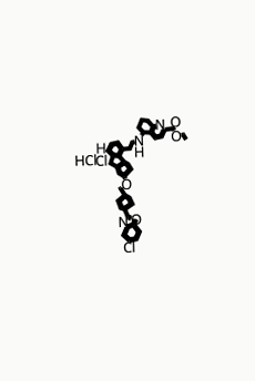 CCOC(=O)c1ccc2c(n1)CCCC2NCCc1cccc2c1-c1ccc(OCc3ccc(-c4nc5cc(Cl)ccc5o4)cc3)cc1C2.Cl.Cl